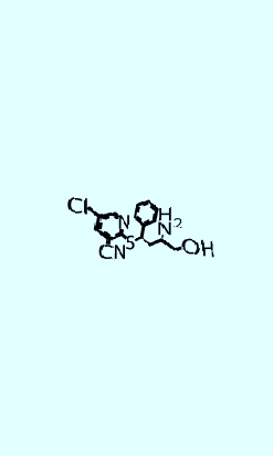 N#Cc1cc(Cl)cnc1S[C@H](C[C@H](N)CO)c1ccccc1